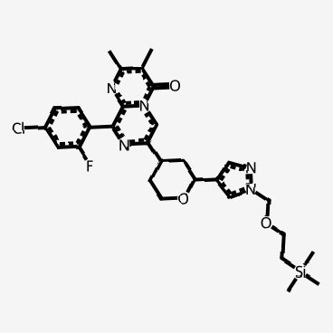 Cc1nc2c(-c3ccc(Cl)cc3F)nc(C3CCOC(c4cnn(COCC[Si](C)(C)C)c4)C3)cn2c(=O)c1C